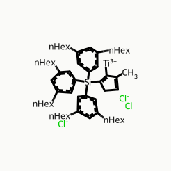 CCCCCCc1cc(CCCCCC)cc([Si](C2=[C]([Ti+3])C(C)=CC2)(c2cc(CCCCCC)cc(CCCCCC)c2)c2cc(CCCCCC)cc(CCCCCC)c2)c1.[Cl-].[Cl-].[Cl-]